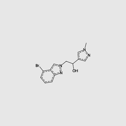 Cn1cc(C(O)Cn2cc3c(Br)cccc3n2)cn1